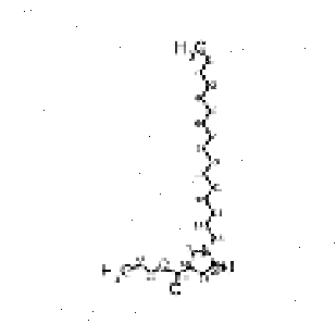 CCCCCCCCCCCCCCCCN1CC(C(=O)OCCC)CC1=O